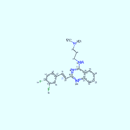 CCN(CC)CCCNc1nc(/C=C/c2ccc(F)c(F)c2)nc2ccccc12